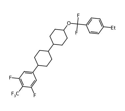 CCc1ccc(C(F)(F)OC2CCC(C3CCC(c4cc(F)c(C(F)(F)F)c(F)c4)CC3)CC2)cc1